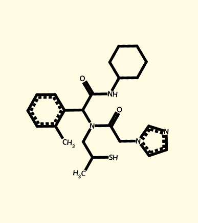 Cc1ccccc1C(C(=O)NC1CCCCC1)N(CC(C)S)C(=O)Cn1ccnc1